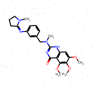 COc1cc2[nH]c(N(C)Cc3cccc(/N=C4/CCCN4C)c3)nc(=O)c2c(OC)c1OC